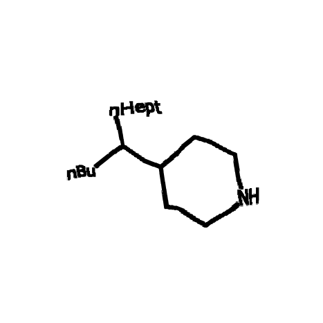 CCCCCCCC(CCCC)C1CCNCC1